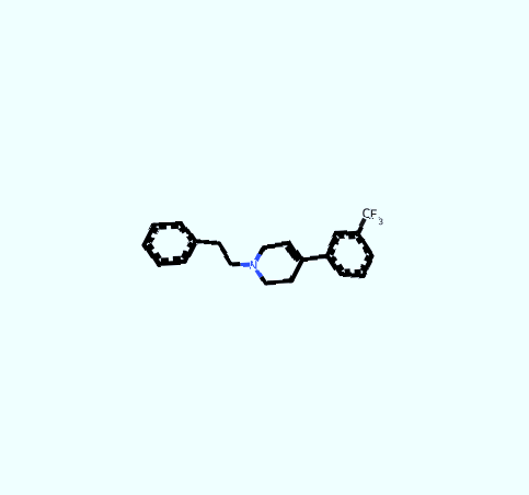 FC(F)(F)c1cccc(C2=CCN(CCc3ccccc3)CC2)c1